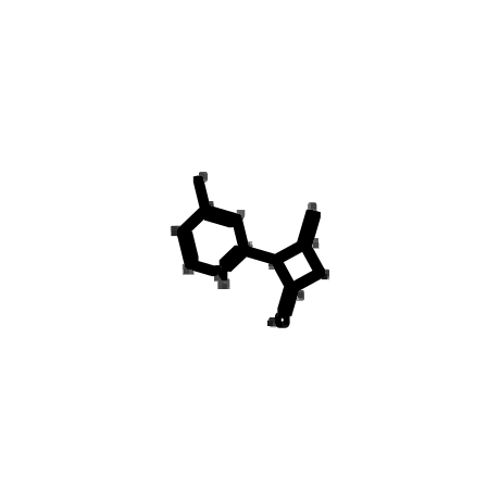 C=C1CC(=O)C1c1cc(C)ccn1